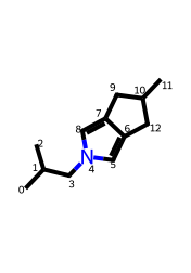 CC(C)Cn1cc2c(c1)CC(C)C2